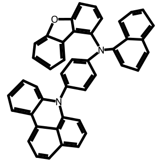 c1ccc2c(c1)-c1cccc3cccc(c13)N2c1ccc(N(c2cccc3ccccc23)c2cccc3oc4ccccc4c23)cc1